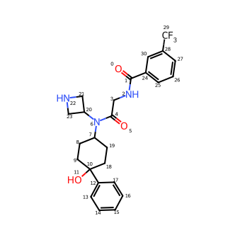 O=C(NCC(=O)N(C1CCC(O)(c2ccccc2)CC1)C1CNC1)c1cccc(C(F)(F)F)c1